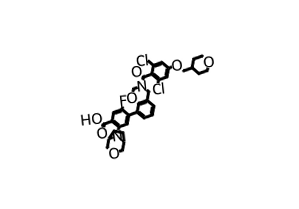 O=C(O)c1cc(F)c(-c2cccc3c2OCN(C(=O)c2c(Cl)cc(OCC4CCOCC4)cc2Cl)C3)cc1N1C2CCC1COC2